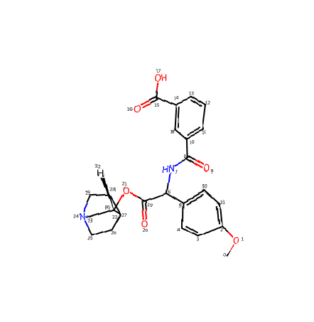 COc1ccc(C(NC(=O)c2cccc(C(=O)O)c2)C(=O)O[C@H]2CN3CCC2CC3)cc1